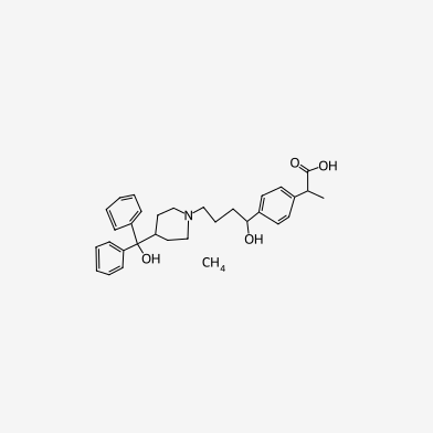 C.CC(C(=O)O)c1ccc(C(O)CCCN2CCC(C(O)(c3ccccc3)c3ccccc3)CC2)cc1